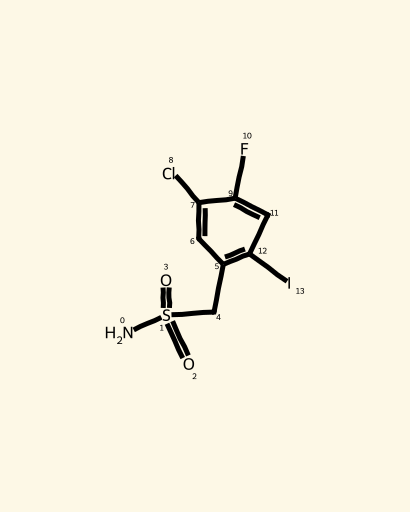 NS(=O)(=O)Cc1cc(Cl)c(F)cc1I